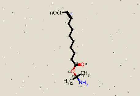 CCCCCCCC/C=C\CCCCCCCC(=O)OC(C)(C)N